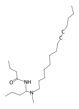 CCCCCCCCCCCCCCN(C)C(CCC)NC(=O)CCC